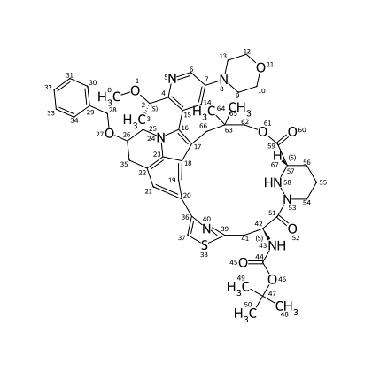 CO[C@@H](C)c1ncc(N2CCOCC2)cc1-c1c2c3cc(cc4c3n1CC(OCc1ccccc1)C4)-c1csc(n1)C[C@H](NC(=O)OC(C)(C)C)C(=O)N1CCC[C@H](N1)C(=O)OCC(C)(C)C2